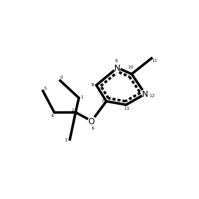 CCC(C)(CC)Oc1cnc(C)nc1